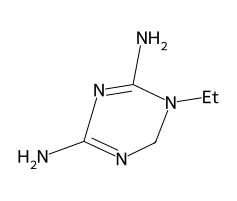 [CH2]CN1CN=C(N)N=C1N